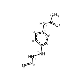 CC(=O)Nc1ccc(NNC=O)cc1